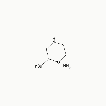 CCCCC1CNCCO1.N